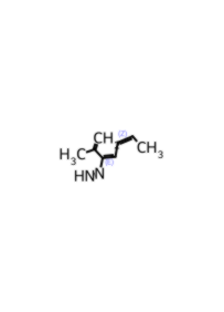 C=C(C)/C(=C\C=C/C)N=N